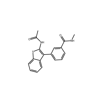 CNC(=O)c1cccc(-c2c(NC(C)=O)sc3ccccc23)c1